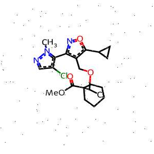 COC(=O)C12CCC(CC1)CC2OCc1c(-c2c(Cl)cnn2C)noc1C1CC1